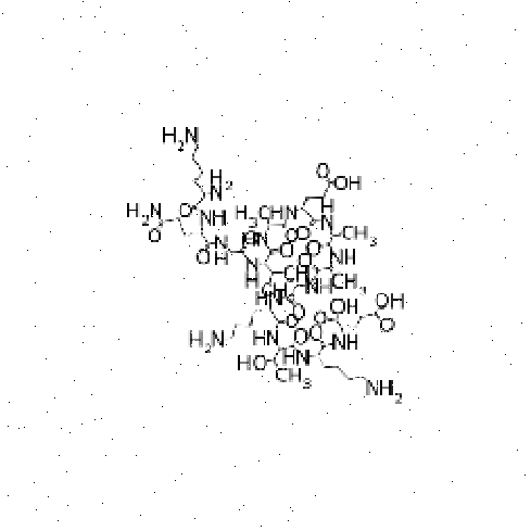 CC(C)[C@H](NC(=O)CNC(=O)[C@H](CCC(N)=O)NC(=O)[C@@H](N)CCCCN)C(=O)N[C@@H](C)C(=O)N[C@@H](CCC(=O)O)C(=O)N[C@@H](C)C(=O)N[C@@H](C)C(=O)NCC(=O)N[C@@H](CCCCN)C(=O)N[C@H](C(=O)N[C@@H](CCCCN)C(=O)N[C@@H](CCC(=O)O)C(=O)O)[C@@H](C)O